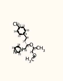 COC[C@H](C)O[C@@H](CCc1ccc(Cl)cc1)Cn1ccnc1